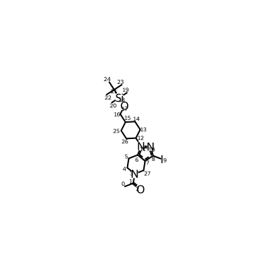 CC(=O)N1CCc2c(c(I)nn2C2CCC(CO[Si](C)(C)C(C)(C)C)CC2)C1